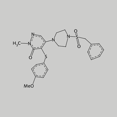 COc1ccc(Sc2c(N3CCN(S(=O)(=O)Cc4ccccc4)CC3)cnn(C)c2=O)cc1